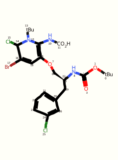 CC(C)(C)OC(=O)N[C@H](COC1=C(NC(=O)O)N(C(C)(C)C)C(Cl)C(Br)=C1)Cc1cccc(Cl)c1